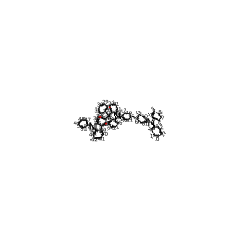 c1ccc(N(c2ccccc2)c2ccc(-c3ccc(N4c5ccccc5C(c5ccccc5)(c5ccc6c(c5)c5ccccc5n6-c5ccccc5)c5ccccc54)cc3)cc2)cc1